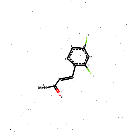 CNC(=O)C=Cc1ccc(F)cc1F